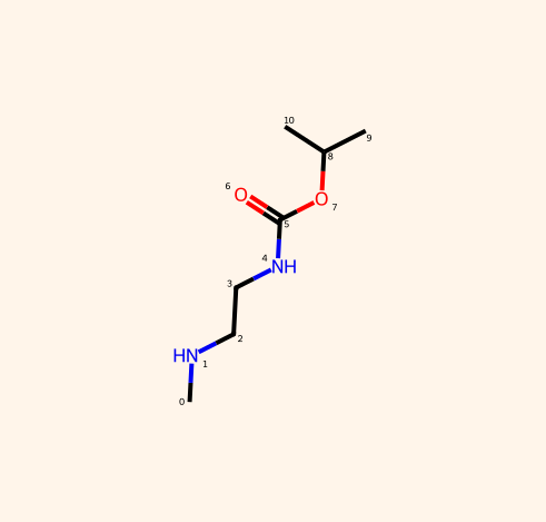 CNCCNC(=O)OC(C)C